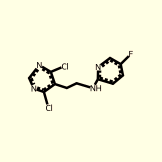 Fc1ccc(NCCc2c(Cl)ncnc2Cl)nc1